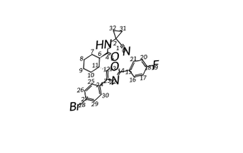 N#CC1(NC(=O)[C@@H]2CCCC[C@H]2c2oc(-c3ccc(F)cc3)nc2-c2ccc(Br)cc2)CC1